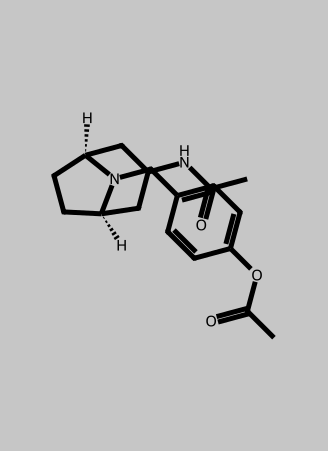 CC(=O)NC1C[C@H]2CC[C@@H](C1)N2Cc1ccc(OC(C)=O)cc1